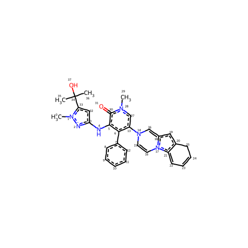 Cn1nc(Nc2c(-c3ccccc3)c(N3C=Cn4c(cc5c4=CC=CC5)=C3)cn(C)c2=O)cc1C(C)(C)O